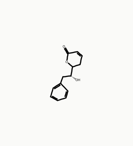 O=C1C=CCC([C@H](O)Cc2ccccc2)O1